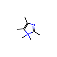 CC1=NC(C)=C(C)[N+]1(C)C